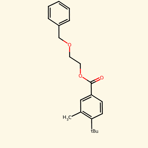 Cc1cc(C(=O)OCCOCc2ccccc2)ccc1C(C)(C)C